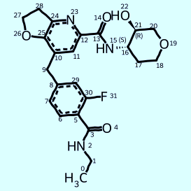 CCNC(=O)c1ccc(Cc2cc(C(=O)N[C@H]3CCOC[C@@H]3O)nc3c2OCC3)cc1F